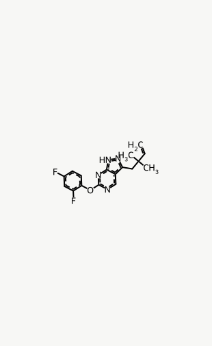 C=CC(C)(C)Cc1n[nH]c2nc(Oc3ccc(F)cc3F)ncc12